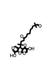 CC(C)(C=O)CCCCCCC(=O)CCC(C)(C)C(c1cocc(O)c1=O)c1cocc(O)c1=O